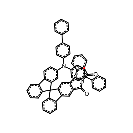 O=c1c2ccccc2n2c3cc4c(cc3c(=O)n12)-c1ccccc1C41c2ccccc2-c2ccc(N(c3ccc(-c4ccccc4)cc3)c3ccc(-c4ccccc4)cc3)cc21